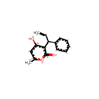 C=CC(c1ccccc1)c1c(O)cc(C)oc1=O